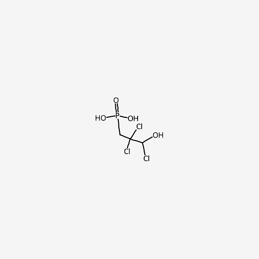 O=P(O)(O)CC(Cl)(Cl)C(O)Cl